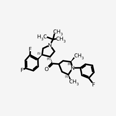 C[C@@H]1CC(C(=O)[C@H]2CN(C(C)(C)C)C[C@@H]2c2ccc(F)cc2F)C[C@H](C)N1c1cccc(F)c1